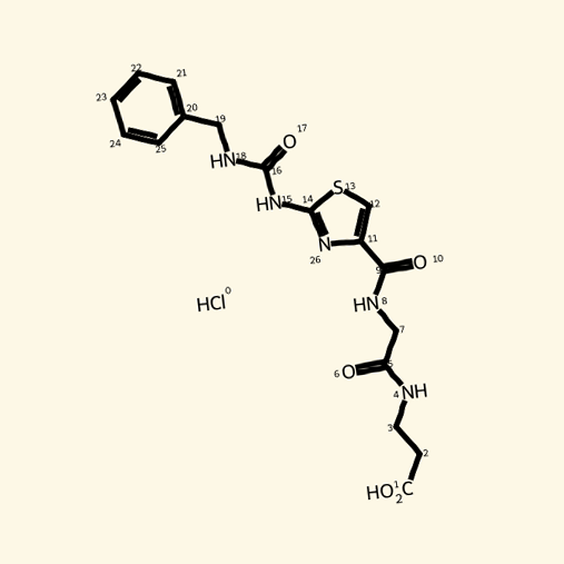 Cl.O=C(O)CCNC(=O)CNC(=O)c1csc(NC(=O)NCc2ccccc2)n1